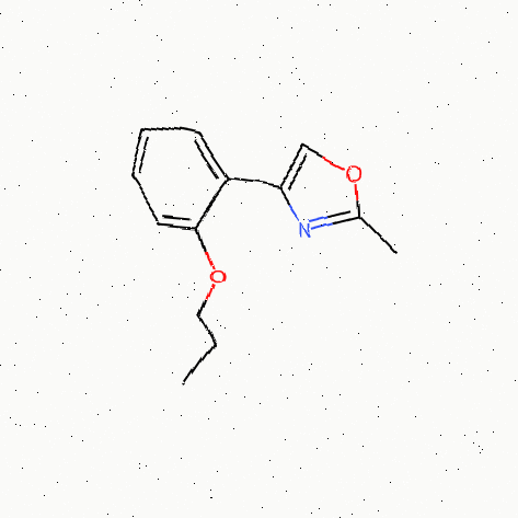 CCCOc1ccccc1-c1coc(C)n1